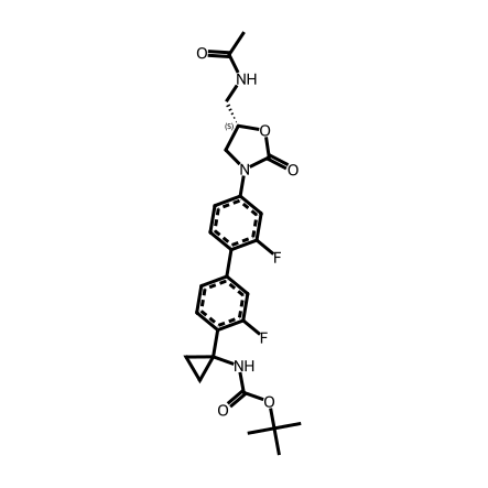 CC(=O)NC[C@H]1CN(c2ccc(-c3ccc(C4(NC(=O)OC(C)(C)C)CC4)c(F)c3)c(F)c2)C(=O)O1